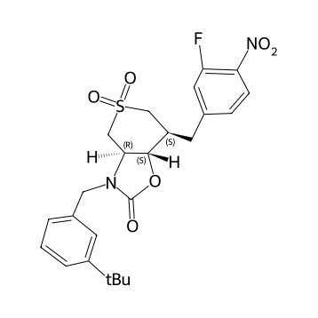 CC(C)(C)c1cccc(CN2C(=O)O[C@H]3[C@H](Cc4ccc([N+](=O)[O-])c(F)c4)CS(=O)(=O)C[C@@H]32)c1